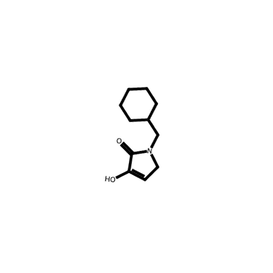 O=C1C(O)=CCN1CC1CCCCC1